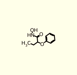 CCC(Oc1ccccc1)C(=O)NO